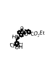 CCOC(=O)c1ccc(CN2C(=O)c3cccc4c(NCCc5cc(Cl)c(O)c(Cl)c5)ccc(c34)C2=O)cc1